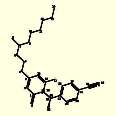 C=C1C=C(CCCC(C)CCCCCC)C=C(C)N1[C@H](C)c1ccc(C#N)cc1